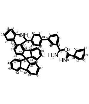 N=C(OC(N)c1cccc(-c2ccc(C3Nc4ccccc4-c4ccc5c(c43)-c3ccccc3C53c4ccccc4-c4ccccc43)cc2)c1)c1ccccc1